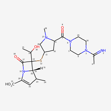 CC(=N)N1CCN(C(=O)C2CC(SC3(C(C)O)C(=O)N4C(C(=O)O)=CC(C)[C@H]43)CN2C)CC1